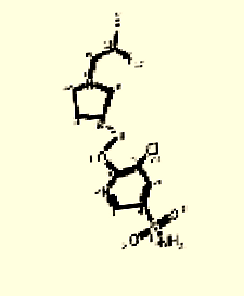 NS(=O)(=O)c1cnc(OC[C@@H]2CCN(CC(F)F)C2)c(Cl)c1